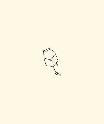 CC1CC2C=CC(C1)N2C